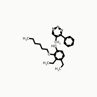 CCCCCCOc1c(O)ccc(CC)c1CC.Cc1cnnnc1-c1ccccc1